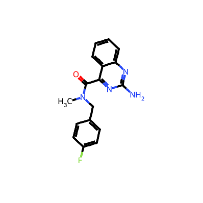 CN(Cc1ccc(F)cc1)C(=O)c1nc(N)nc2ccccc12